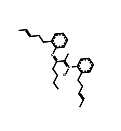 CC=CCCc1ccccc1N=C(CCCC)C(C)=[N+]([Ni])c1ccccc1CCC=CC